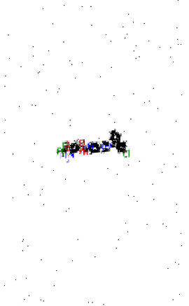 CC1(C)CCC(c2ccc(Cl)cc2)=C(CN2CCN(c3ccc(C(=O)NS(=O)(=O)c4ccc(S(=O)(=O)C(F)(F)F)c(N)c4)cc3)CC2)C1